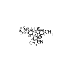 Cc1ccc(Cn2c(-c3ccc(CN4CCCCC4)cc3)cc(C(F)(F)F)c(C#N)c2=O)c(C)c1